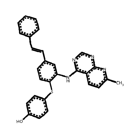 Cc1ccc2c(Nc3cc(/C=C/c4ccccc4)ccc3Sc3ccc(O)cc3)ncnc2n1